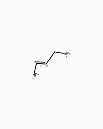 [CH2]CCC/C=C/CCC